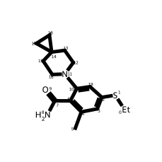 CCSc1cc(C)c(C(N)=O)c(N2CCC3(CC2)CC3)c1